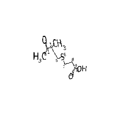 CC(=O)C(C)CSCCC(=O)O